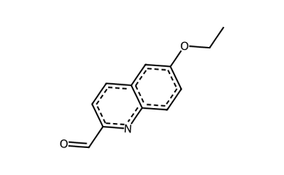 CCOc1ccc2nc(C=O)ccc2c1